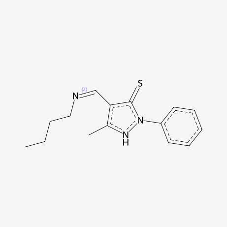 CCCC/N=C\c1c(C)[nH]n(-c2ccccc2)c1=S